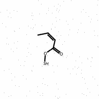 C/C=C\C(=O)OS